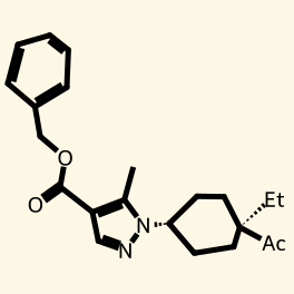 CC[C@]1(C(C)=O)CC[C@H](n2ncc(C(=O)OCc3ccccc3)c2C)CC1